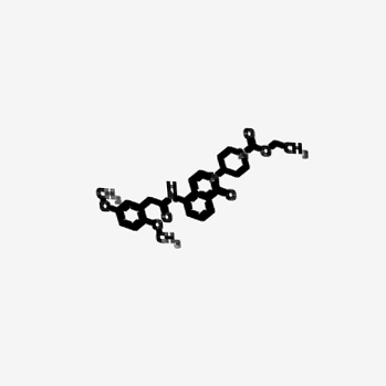 CCOC(=O)N1CCC(n2ccc3c(NC(=O)Cc4cc(OC)ccc4OC)cccc3c2=O)CC1